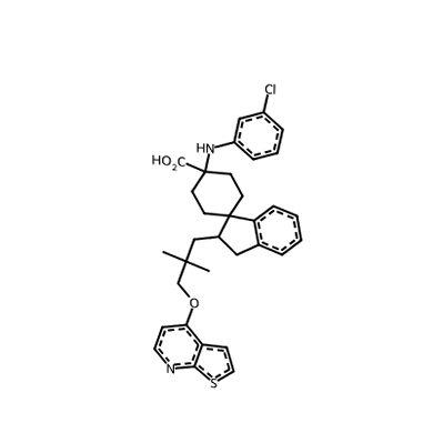 CC(C)(COc1ccnc2sccc12)CC1Cc2ccccc2C12CCC(Nc1cccc(Cl)c1)(C(=O)O)CC2